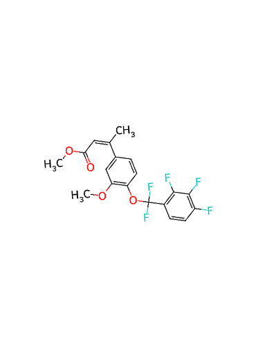 COC(=O)/C=C(/C)c1ccc(OC(F)(F)c2ccc(F)c(F)c2F)c(OC)c1